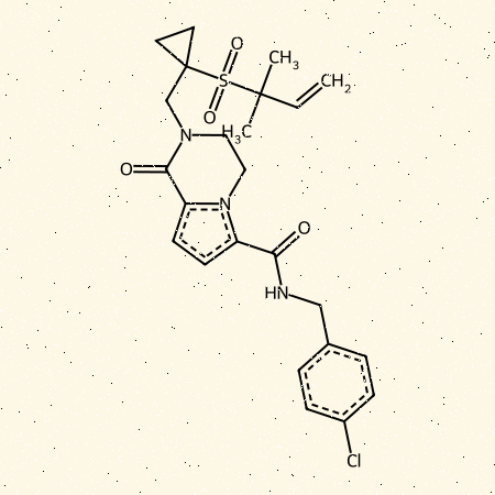 C=CC(C)(C)S(=O)(=O)C1(CN2CCn3c(C(=O)NCc4ccc(Cl)cc4)ccc3C2=O)CC1